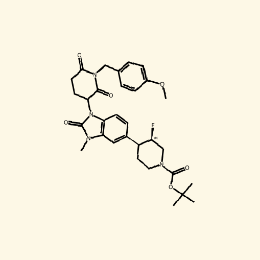 COc1ccc(CN2C(=O)CCC(n3c(=O)n(C)c4cc(C5CCN(C(=O)OC(C)(C)C)C[C@@H]5F)ccc43)C2=O)cc1